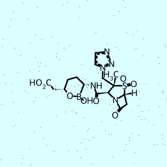 C[C@]1(Cn2ccnn2)[C@H](C(=O)N[C@H]2CC[C@@H](CC(=O)O)OB2O)N2C(=O)C[C@H]2S1(=O)=O